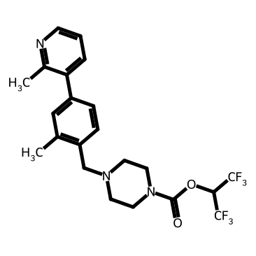 Cc1cc(-c2cccnc2C)ccc1CN1CCN(C(=O)OC(C(F)(F)F)C(F)(F)F)CC1